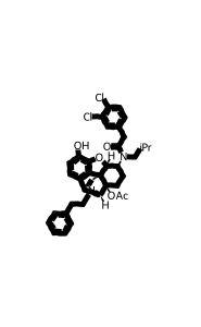 CC(=O)O[C@@]12CC[C@@H](N(CC(C)C)C(=O)Cc3ccc(Cl)c(Cl)c3)[C@@H]3Oc4c(O)ccc5c4[C@@]31CCN(CCc1ccccc1)[C@@H]2C5